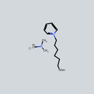 CCCCCCCCCCCCCCCC[n+]1ccccc1.CN(C)C.[Cl-]